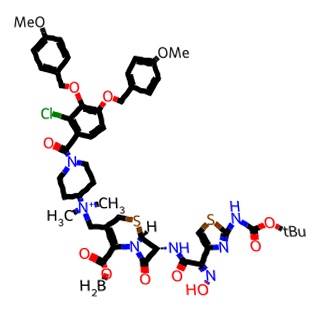 BOC(=O)C1=C(C[N+](C)(C)C2CCN(C(=O)c3ccc(OCc4ccc(OC)cc4)c(OCc4ccc(OC)cc4)c3Cl)CC2)CS[C@@H]2[C@H](NC(=O)/C(=N\O)c3csc(NC(=O)OC(C)(C)C)n3)C(=O)N12